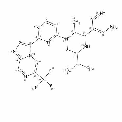 CC(C)C1CN(c2ccnc(-c3cnc4cnc(C(F)(F)F)cn34)n2)C(C)C(/C(C=N)=C/N)N1